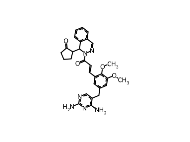 COc1cc(Cc2cnc(N)nc2N)cc(C=CC(=O)N2N=Cc3ccccc3C2C2CCCC2=O)c1OC